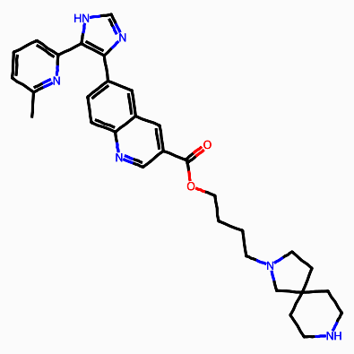 Cc1cccc(-c2[nH]cnc2-c2ccc3ncc(C(=O)OCCCCN4CCC5(CCNCC5)C4)cc3c2)n1